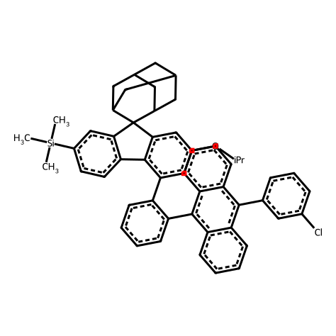 CC(C)Oc1cc(-c2ccccc2-c2c3ccccc3c(-c3cccc(Cl)c3)c3ccccc23)c2c(c1)C1(c3cc([Si](C)(C)C)ccc3-2)C2CC3CC(C2)CC1C3